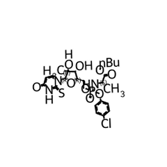 CCCCOC(=O)[C@H](C)NP(=O)(OC[C@H]1O[C@@H](n2ccc(=O)[nH]c2=S)[C@](C)(O)C1O)Oc1ccc(Cl)cc1